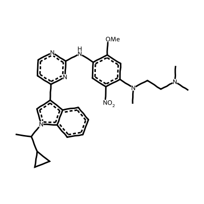 COc1cc(N(C)CCN(C)C)c([N+](=O)[O-])cc1Nc1nccc(-c2cn(C(C)C3CC3)c3ccccc23)n1